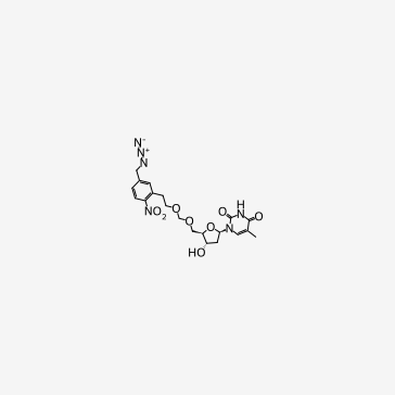 Cc1cn([C@H]2C[C@H](O)[C@@H](COCOCCc3cc(CN=[N+]=[N-])ccc3[N+](=O)[O-])O2)c(=O)[nH]c1=O